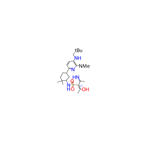 CNc1nc(C2CCC(C)(C)C(NS(=O)(=O)/C(C(C)=N)=C(\C)O)C2)ccc1NCC(C)(C)C